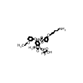 CCCOc1cccc(Oc2cc3c(cc2NS(=O)(=O)c2cccc(OC/C=C/CCCN)c2)n(C)c(=O)n3C)c1.O=C(O)C(F)(F)F